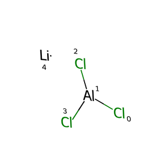 [Cl][Al]([Cl])[Cl].[Li]